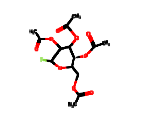 CC(=O)OCC1OC(F)C(OC(C)=O)C(OC(C)=O)[C@@H]1OC(C)=O